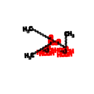 CCCCCCCCCCCCCCCC(=O)OCC(COC(=O)CCCCCC(CCCCCCCCC)OC1O[C@H](CO)[C@@H](O)[C@H](O)[C@H]1O)OC(=O)CCC(CCCCCCCCCCCC)OC1O[C@H](CO)[C@@H](O)[C@H](O)[C@H]1O